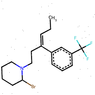 CCC=C(CCN1CCCCC1Br)c1cccc(C(F)(F)F)c1